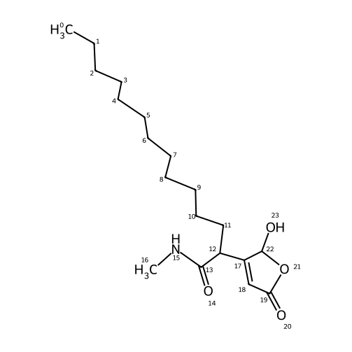 CCCCCCCCCCCCC(C(=O)NC)C1=CC(=O)OC1O